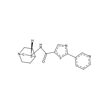 O=C(N[C@H]1CN2CCC1CC2)c1cnc(-c2cccnc2)s1